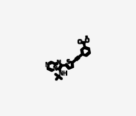 COC(=O)c1cccc(C#Cc2ccc(-c3nc4cnccn4c3NC(C)(C)C)s2)c1